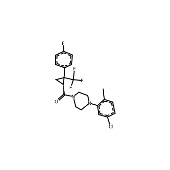 Cc1ccc(Cl)cc1N1CCN(C(=O)[C@H]2CC2(c2ccc(F)cc2)C(F)(F)F)CC1